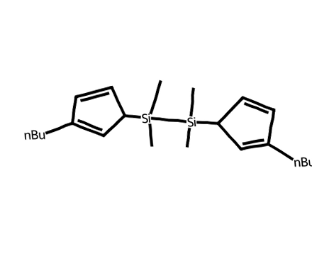 CCCCC1=CC([Si](C)(C)[Si](C)(C)C2C=CC(CCCC)=C2)C=C1